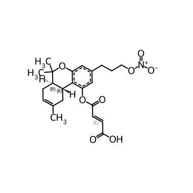 CC1=CC[C@@H]2[C@@H](C1)c1c(OC(=O)/C=C/C(=O)O)cc(CCCO[N+](=O)[O-])cc1OC2(C)C